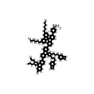 C=CCCCC1(CCCC=C)c2cc(C)ccc2-c2ccc(-c3ccc4c(c3)C(CCCCCc3ccc5c(c3)CC5)(CCCCCc3ccc5c(c3)CC5)c3cc(-c5ccc6c(c5)C(c5ccc(CCCCCC)cc5)(c5ccc(CCCCCC)cc5)c5cc(-c7ccc(N)cc7)ccc5-6)ccc3-4)cc21